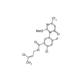 COc1nc(C(F)(F)F)cc(=O)n1-c1cc(C(=O)OCC=C(C)Cl)c(Cl)cc1F